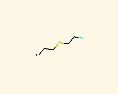 [CH2]CCCCSCCF